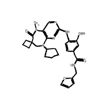 COc1cc(C(=O)NCc2ccco2)ccc1Nc1ncc2c(n1)N(C1CCCC1)CC1(CCC1)C(=O)N2C